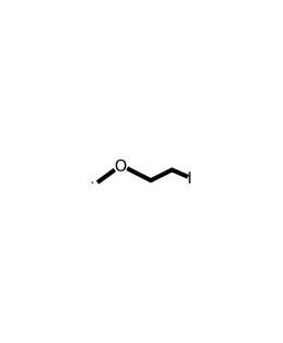 [CH2]OCCI